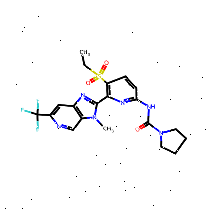 CCS(=O)(=O)c1ccc(NC(=O)N2CCCC2)nc1-c1nc2cc(C(F)(F)F)ncc2n1C